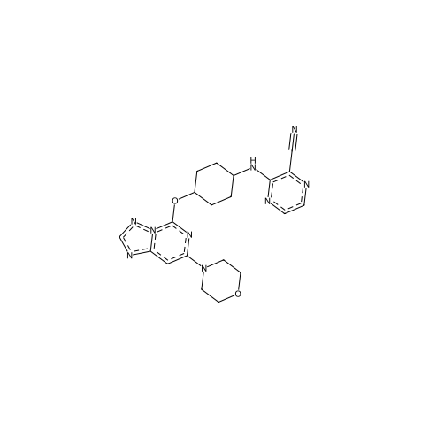 N#Cc1nccnc1NC1CCC(Oc2nc(N3CCOCC3)cc3ncnn23)CC1